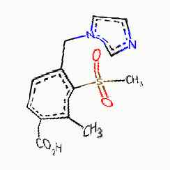 Cc1c(C(=O)O)ccc(Cn2ccnc2)c1S(C)(=O)=O